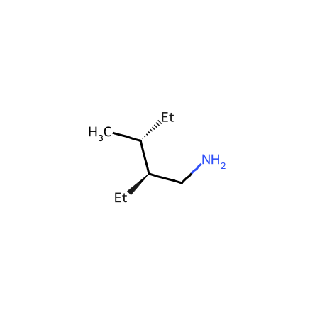 CC[C@H](CN)[C@H](C)CC